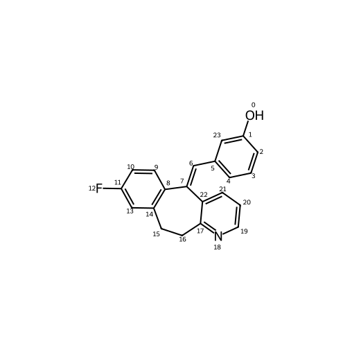 Oc1cccc(/C=C2/c3ccc(F)cc3CCc3ncccc32)c1